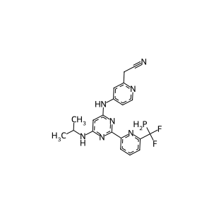 CC(C)Nc1cc(Nc2ccnc(CC#N)c2)nc(-c2cccc(C(F)(F)P)n2)n1